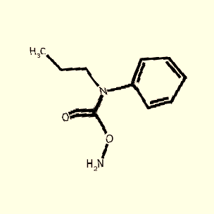 CCCN(C(=O)ON)c1ccccc1